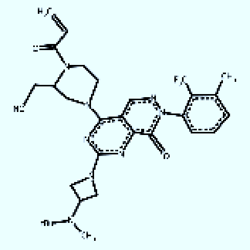 C=CC(=O)N1CCN(c2nc(N3CC(N(C)C(C)(C)C)C3)nc3c(=O)n(-c4cccc(C)c4C(F)(F)F)ncc23)CC1CC#N